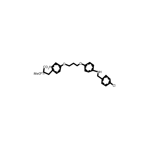 CO[C@@H](Cc1ccc(OCCCOc2ccc(NCc3ccc(Cl)cc3)cc2)cc1)C(=O)O